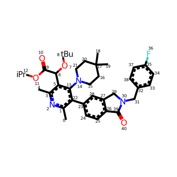 Cc1nc(C)c(C(OC(C)(C)C)C(=O)OC(C)C)c(N2CCC(C)(C)CC2)c1-c1ccc2c(c1)CN(Cc1ccc(F)cc1)C2=O